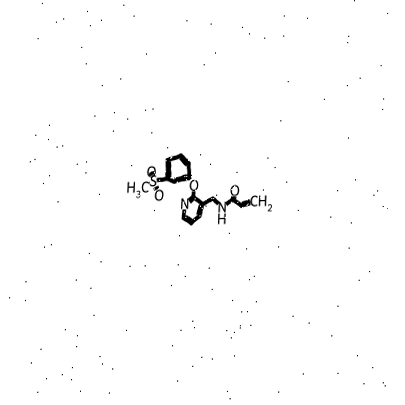 C=CC(=O)NCc1cccnc1Oc1cccc(S(C)(=O)=O)c1